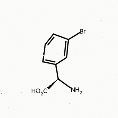 N[C@@H](C(=O)O)c1cccc(Br)c1